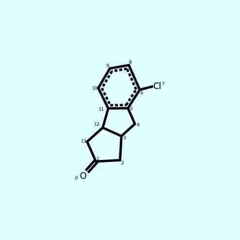 O=C1CC2Cc3c(Cl)cccc3C2C1